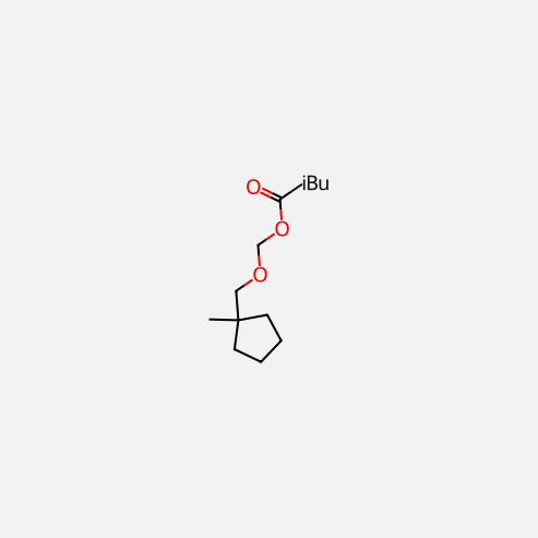 CCC(C)C(=O)OCOCC1(C)CCCC1